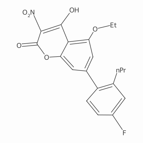 CCCc1cc(F)ccc1-c1cc(OCC)c2c(O)c([N+](=O)[O-])c(=O)oc2c1